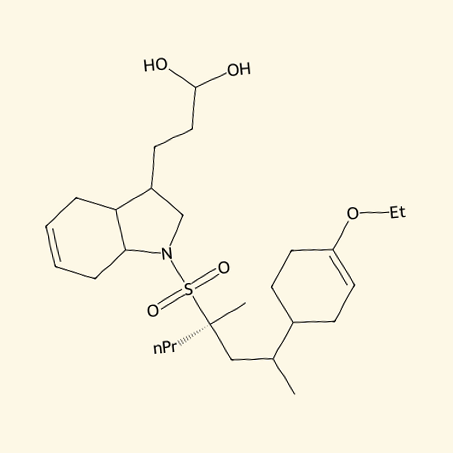 CCC[C@](C)(CC(C)C1CC=C(OCC)CC1)S(=O)(=O)N1CC(CCC(O)O)C2CC=CCC21